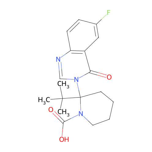 CC(C)(C)C1(n2cnc3ccc(F)cc3c2=O)CCCCN1C(=O)O